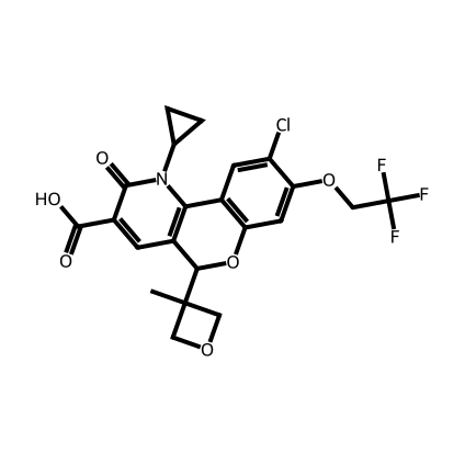 CC1(C2Oc3cc(OCC(F)(F)F)c(Cl)cc3-c3c2cc(C(=O)O)c(=O)n3C2CC2)COC1